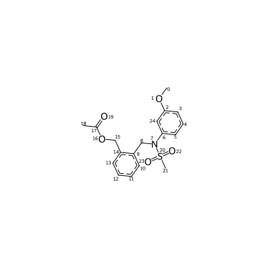 COc1cccc(N(Cc2ccccc2COC(C)=O)S(C)(=O)=O)c1